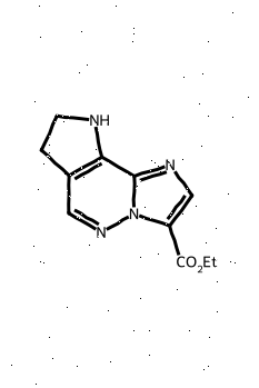 CCOC(=O)c1cnc2c3c(cnn12)CCN3